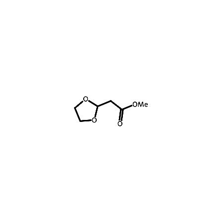 COC(=O)CC1OCCO1